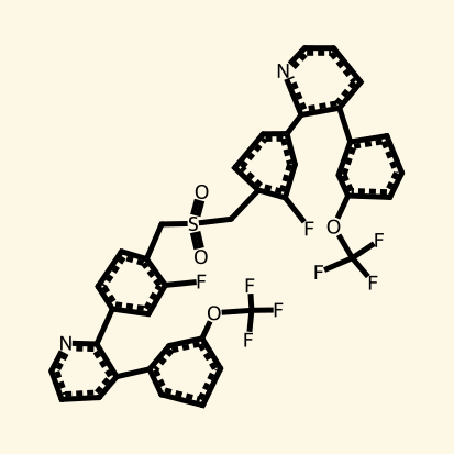 O=S(=O)(Cc1ccc(-c2ncccc2-c2cccc(OC(F)(F)F)c2)cc1F)Cc1ccc(-c2ncccc2-c2cccc(OC(F)(F)F)c2)cc1F